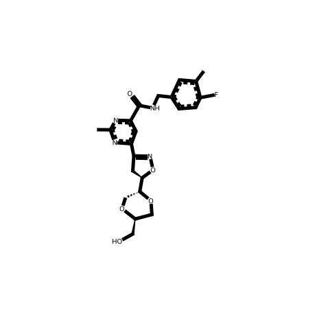 Cc1nc(C(=O)NCc2ccc(F)c(C)c2)cc(C2=NO[C@@H]([C@H]3CO[C@H](CO)CO3)C2)n1